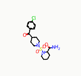 NC(=O)C1CCCCN1S(=O)(=O)N1CCC(C(=O)c2ccc(Cl)cc2)CC1